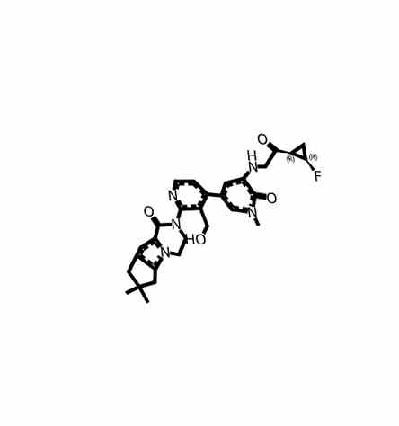 Cn1cc(-c2ccnc(N3CCn4c(cc5c4CC(C)(C)C5)C3=O)c2CO)cc(NCC(=O)[C@H]2C[C@H]2F)c1=O